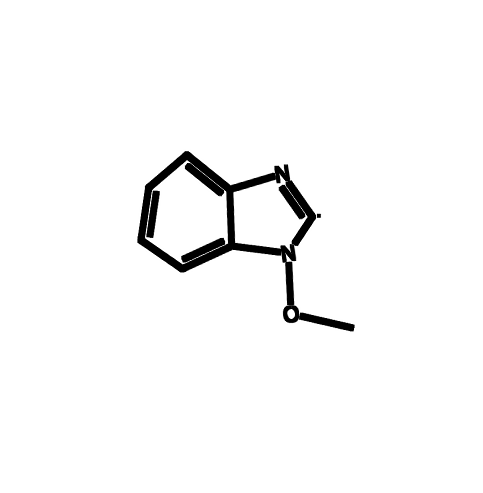 COn1[c]nc2ccccc21